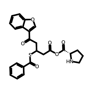 O=C(CC(CC(=O)c1coc2ccccc12)SC(=O)c1ccccc1)OC(=O)[C@@H]1CCCN1